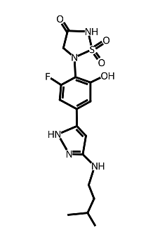 CC(C)CCNc1cc(-c2cc(O)c(N3CC(=O)NS3(=O)=O)c(F)c2)[nH]n1